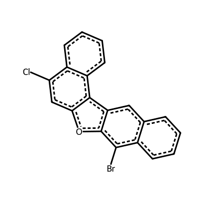 Clc1cc2oc3c(Br)c4ccccc4cc3c2c2ccccc12